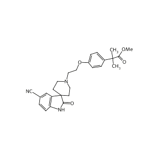 COC(=O)C(C)(C)c1ccc(OCCN2CCC3(CC2)C(=O)Nc2ccc(C#N)cc23)cc1